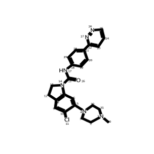 CN1CCN(c2cc3c(cc2Cl)CCN3C(=O)Nc2ccc(-c3cccnn3)cc2)CC1